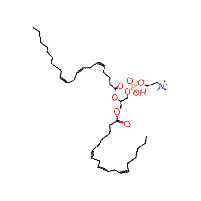 CCCCC/C=C\C/C=C\C/C=C\CCCCC(=O)OC[C@H](COP(=O)(O)OCC[N+](C)(C)C)OC(=O)CCC/C=C\C/C=C\C/C=C\CCCCCCCC